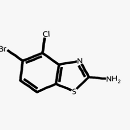 Nc1nc2c(Cl)c(Br)ccc2s1